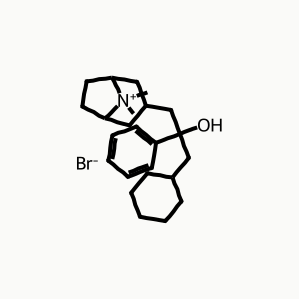 C[N+]1(C)C2CCC1CC(CC(O)(CC1CCCCC1)c1ccccc1)C2.[Br-]